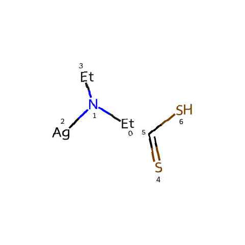 CC[N]([Ag])CC.S=CS